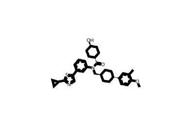 COc1ccc([C@H]2CC[C@H](CN(c3cccc(-c4cnc(C5CC5)s4)c3)C(=O)[C@H]3CC[C@H](O)CC3)CC2)cc1C